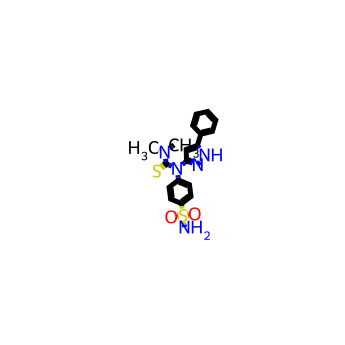 CN(C)C(=S)N(c1ccc(S(N)(=O)=O)cc1)c1cc(-c2ccccc2)[nH]n1